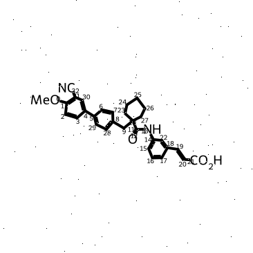 COc1ccc(-c2ccc(CC3(C(=O)Nc4cccc(/C=C/C(=O)O)c4)CCCCC3)cc2)cc1C#N